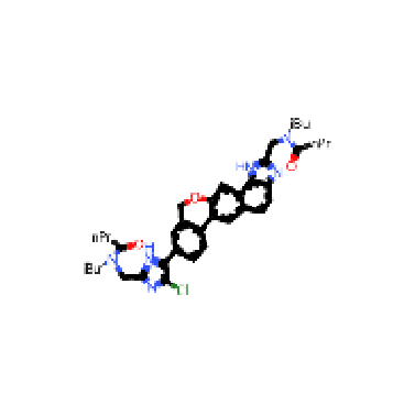 CCCC(=O)N(Cc1nc(Cl)c(-c2ccc3c(c2)COc2cc4c(ccc5nc(CN(C(=O)CCC)[C@@H](C)CC)[nH]c54)cc2-3)[nH]1)[C@@H](C)CC